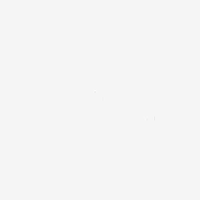 CCOCOC(=O)C12CCC(C1)C(C1CCCCC1)=C2C1CCCCC1